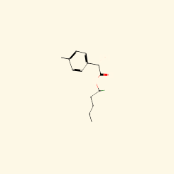 CCCCC(Cl)OC(=O)[C@@H](O)c1ccc(C)cc1